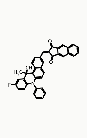 CC1(C)c2cc(F)ccc2N(c2ccccc2)c2ccc3cc(C=C4C(=O)c5cc6ccccc6cc5C4=O)ccc3c21